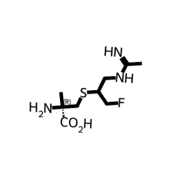 CC(=N)NCC(CF)SC[C@](C)(N)C(=O)O